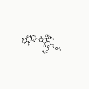 CCOC(CN1C(=O)c2cc(-c3ccnc(Nc4ccnn4C)n3)sc2C1(C)C)OCC